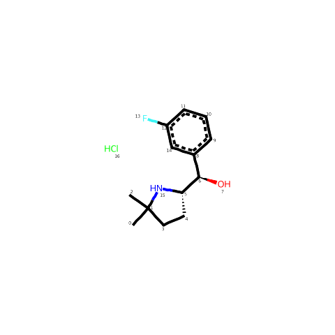 CC1(C)CC[C@@H]([C@H](O)c2cccc(F)c2)N1.Cl